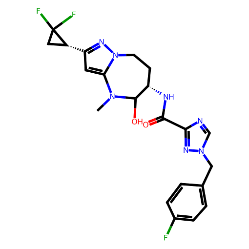 CN1c2cc([C@@H]3CC3(F)F)nn2CC[C@H](NC(=O)c2ncn(Cc3ccc(F)cc3)n2)C1O